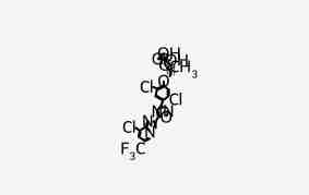 C[C@@H](COc1cc(Cl)c(-c2noc(-c3cn4cc(C(F)(F)F)cc(Cl)c4n3)n2)cc1Cl)OP(=O)(O)O